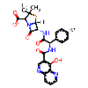 CC1(C)S[C@@H]2[C@H](NC(=O)[C@H](NC(=O)c3cnc4cccnc4c3O)c3ccccc3)C(=O)N2[C@H]1C(=O)[O-].[K+]